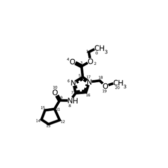 CCOC(=O)c1nc(NC(=O)C2CCCC2)cn1COC